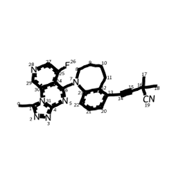 Cc1nnc2nc(N3CCCCc4c(C#CC(C)(C)C#N)cccc43)c3c(F)cncc3n12